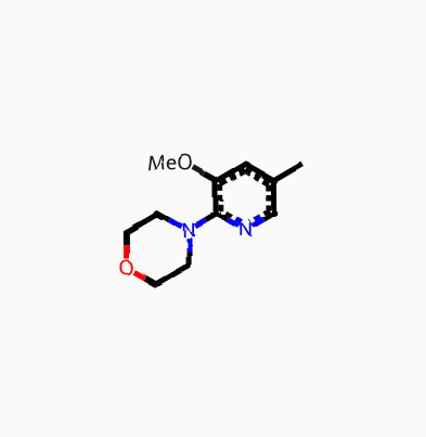 COc1cc(C)cnc1N1CCOCC1